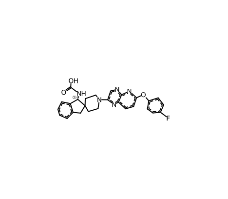 O=C(O)N[C@@H]1c2ccccc2CC12CCN(c1cnc3nc(Oc4ccc(F)cc4)ccc3n1)CC2